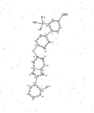 Oc1ccc(-c2ccc(Cn3cc4nc(-c5ccccc5F)nc-4cn3)nn2)c(C(F)(F)F)c1